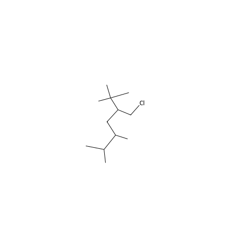 CC(C)C(C)CC(CCl)C(C)(C)C